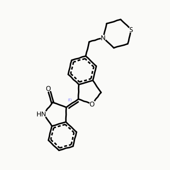 O=C1Nc2ccccc2/C1=C1\OCc2cc(CN3CCSCC3)ccc21